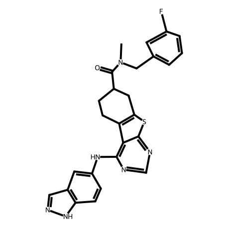 CN(Cc1cccc(F)c1)C(=O)C1CCc2c(sc3ncnc(Nc4ccc5[nH]ncc5c4)c23)C1